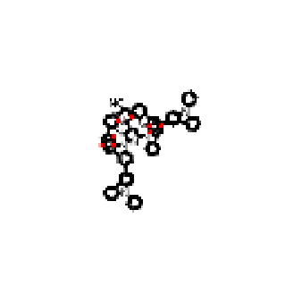 N#Cc1ccc(-c2c(-n3c4ccccc4c4ccccc43)c(-n3c4ccccc4c4cc(-c5ccc6c(c5)c5ccccc5n6-c5ccccc5)ccc43)nc(-n3c4ccccc4c4cc(-c5ccc6c(c5)c5ccccc5n6-c5ccccc5)ccc43)c2-n2c3ccccc3c3ccccc32)nc1